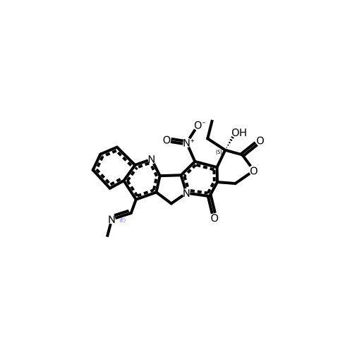 CC[C@@]1(O)C(=O)OCc2c1c([N+](=O)[O-])c1n(c2=O)Cc2c-1nc1ccccc1c2/C=N/C